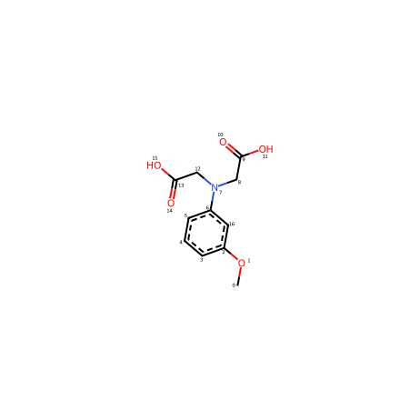 COc1cccc(N(CC(=O)O)CC(=O)O)c1